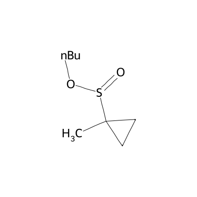 CCCCOS(=O)C1(C)CC1